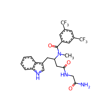 CN(C(=O)c1cc(C(F)(F)F)cc(C(F)(F)F)c1)C(CC(=O)NCC(N)=O)Cc1c[nH]c2ccccc12